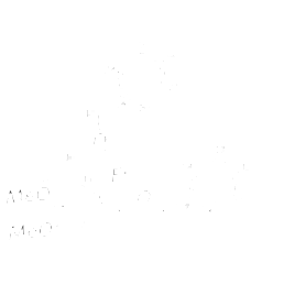 COC1(OC)CC(F)(COCc2ccccc2)[C@H]1COCc1ccccc1